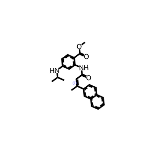 COC(=O)c1ccc(NC(C)C)cc1NC(=O)/C=C(/C)c1ccc2ccccc2c1